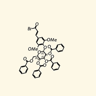 COc1cc(C=CC(=O)Br)cc(OC)c1O[C@@H]1O[C@H](COC(=O)c2ccccc2)[C@@H](OC(=O)c2ccccc2)[C@H](OC(=O)c2ccccc2)[C@H]1OC(=O)c1ccccc1